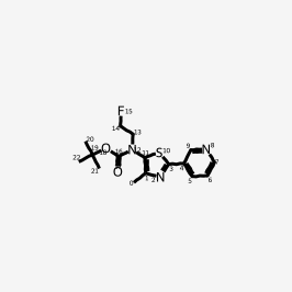 Cc1nc(-c2cccnc2)sc1N(CCF)C(=O)OC(C)(C)C